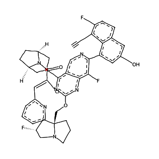 C#Cc1c(F)ccc2cc(O)cc(-c3ncc4c(N5C[C@H]6CC[C@@H](C5)N6C(=O)/C(Cl)=C/c5ccccn5)nc(OC[C@@]56CCCN5C[C@H](F)C6)nc4c3F)c12